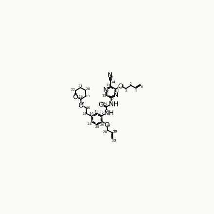 C=CCCOc1nc(NC(=O)Nc2cc(CCOC3CCCCO3)ccc2OCC=C)cnc1C#N